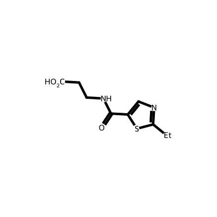 CCc1ncc(C(=O)NCCC(=O)O)s1